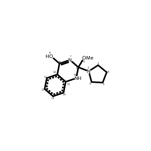 COC1(N2CCCC2)N=C(O)c2ccccc2N1